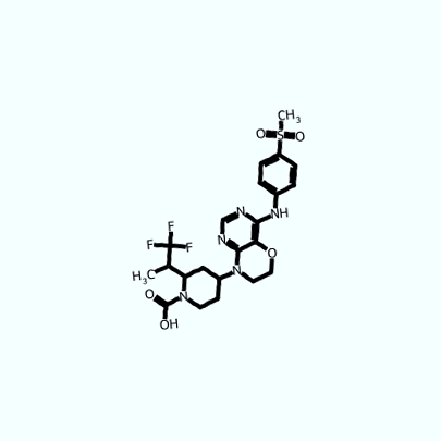 CC(C1CC(N2CCOc3c(Nc4ccc(S(C)(=O)=O)cc4)ncnc32)CCN1C(=O)O)C(F)(F)F